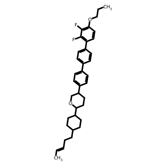 C/C=C/CCC1CCC(C2CCC(c3ccc(-c4ccc(-c5ccc(OCCC)c(F)c5F)cc4)cc3)CO2)CC1